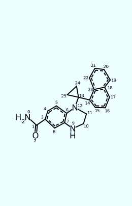 NC(=O)c1ccc2c(c1)NCCN2C1(c2cccc3ccccc23)CC1